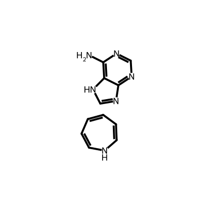 C1=CC=CNC=C1.Nc1ncnc2nc[nH]c12